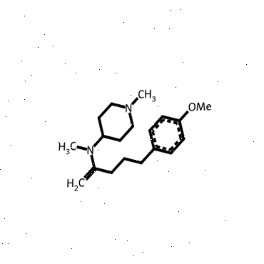 C=C(CCCc1ccc(OC)cc1)N(C)C1CCN(C)CC1